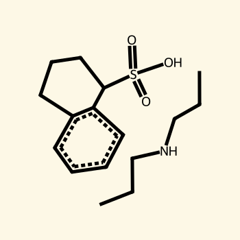 CCCNCCC.O=S(=O)(O)C1CCCc2ccccc21